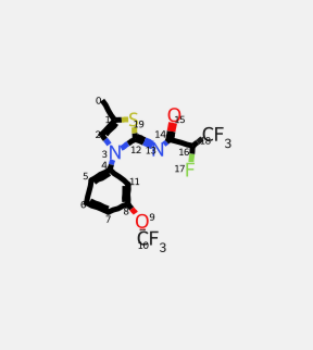 Cc1cn(-c2cccc(OC(F)(F)F)c2)c(=NC(=O)C(F)C(F)(F)F)s1